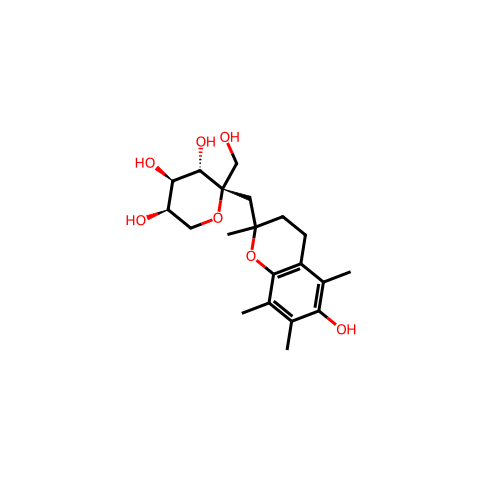 Cc1c(C)c2c(c(C)c1O)CCC(C)(C[C@@]1(CO)OC[C@@H](O)[C@@H](O)[C@@H]1O)O2